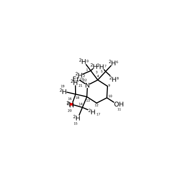 [2H]C([2H])([2H])C1(C([2H])([2H])[2H])CC(O)CC(C([2H])([2H])[2H])(C([2H])([2H])[2H])N1CC